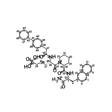 NC(=O)[C@H](Cc1ccc2ccccc2c1)NC(=O)[C@@H]1CCCCN1C(=O)[C@H](CSCP(=O)(O)O)NC(=O)Cc1ccc(-c2ccccc2)cc1